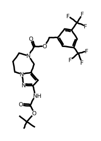 CC(C)(C)OC(=O)Nc1cc2n(n1)CCCN(C(=O)OCc1cc(C(F)(F)F)cc(C(F)(F)F)c1)C2